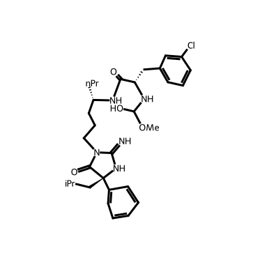 CCC[C@@H](CCCN1C(=N)N[C@](CC(C)C)(c2ccccc2)C1=O)NC(=O)[C@H](Cc1cccc(Cl)c1)NC(O)OC